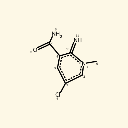 Cn1cc(Cl)cc(C(N)=O)c1=N